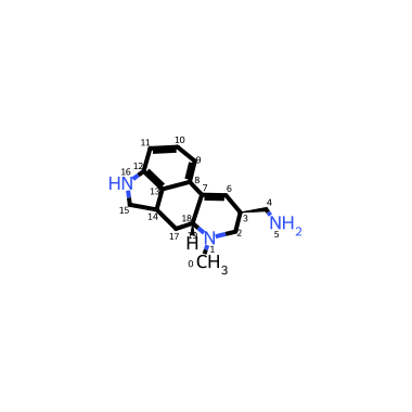 CN1C[C@H](CN)C=C2c3cccc4c3C(CN4)C[C@H]21